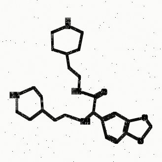 O=C(NCCC1CCNCC1)C(NCCC1CCNCC1)c1ccc2c(c1)OCO2